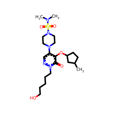 CC1CCC(Oc2c(N3CCN(S(=O)(=O)N(C)C)CC3)cnn(CCCCCO)c2=O)C1